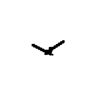 [CH2]c1cc(SCCCCCCCCCCCC)cc(SCCCCCCCCCCCC)c1